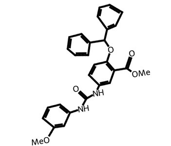 COC(=O)c1cc(NC(=O)Nc2cccc(OC)c2)ccc1OC(c1ccccc1)c1ccccc1